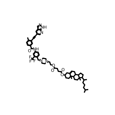 Cc1ccc(C(=O)Nc2ccc(CN3CCN(CCOC(=O)CCC(=O)OC4CCC5(C)C(=CCC6C5CCC5(C)C(C(C)CCCC(C)C)CCC65)C4)CC3)c(C(F)(F)F)c2)cc1C#Cc1cnc2[nH]ncc2c1